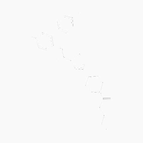 CC(=O)CCCC(=O)N1CCC(c2nc(C(=O)Nc3ccc(F)cc3-c3ccc(Cl)cc3)cs2)CC1